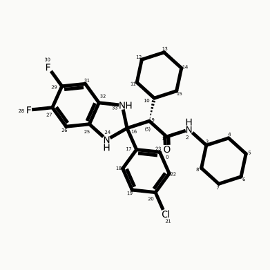 O=C(NC1CCCCC1)[C@@H](C1CCCCC1)C1(c2ccc(Cl)cc2)Nc2cc(F)c(F)cc2N1